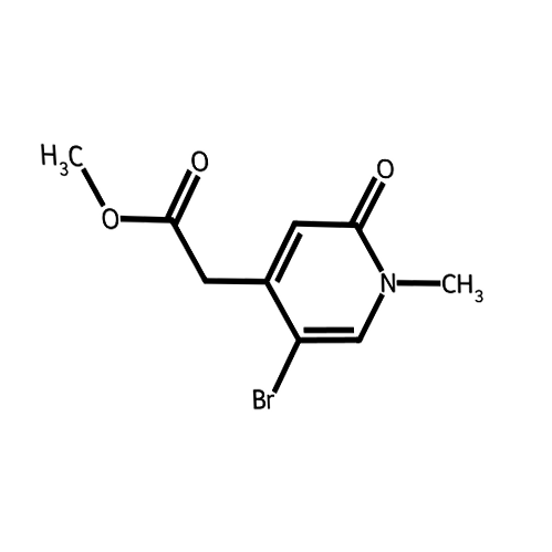 COC(=O)Cc1cc(=O)n(C)cc1Br